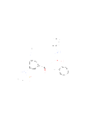 CCNc1cc(C(=O)N[C@@H](Cc2ccccc2)[C@H](O)CN[C@]23CC[C@H](CC2)C3)cc(N2CCCCS2(=O)=O)c1.Cl